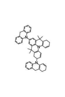 CC1(C)C2=C(C=CCC2)N2C3=C(CC(N4C5=C(CCC=C5)Cc5ccccc54)C=C3)C(C)(C)c3cc(N4c5ccccc5Cc5ccccc54)cc1c32